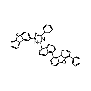 c1ccc(-c2nc(-c3ccc4sc5ccccc5c4c3)nc(-c3cccc4c(-c5cccc6oc7c(-c8ccccc8)cccc7c56)cccc34)n2)cc1